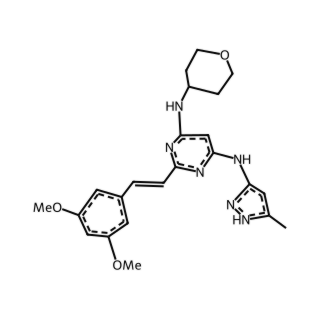 COc1cc(/C=C/c2nc(Nc3cc(C)[nH]n3)cc(NC3CCOCC3)n2)cc(OC)c1